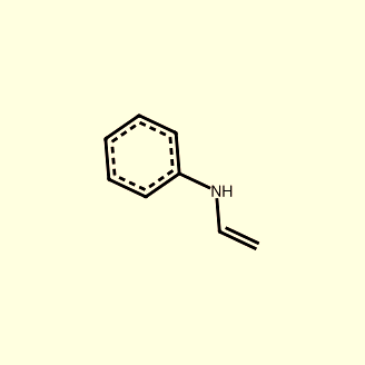 C=CNc1ccccc1